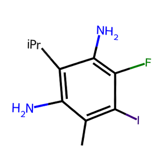 Cc1c(N)c(C(C)C)c(N)c(F)c1I